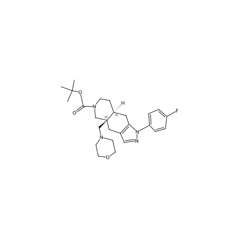 CC(C)(C)OC(=O)N1CC[C@H]2Cc3c(cnn3-c3ccc(F)cc3)C[C@]2(CN2CCOCC2)C1